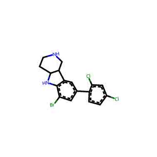 Clc1ccc(-c2cc(Br)c3c(c2)C2CNCCC2N3)c(Cl)c1